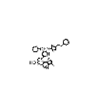 Cc1csc2c(Sc3cnc(Nc4nc(CCc5ccccc5)cs4)c(Oc4ccccc4)c3)c(OC(=O)O)cnc12